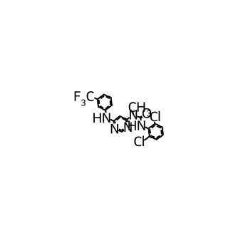 CN(C(=O)Nc1c(Cl)cccc1Cl)c1cc(Nc2cccc(C(F)(F)F)c2)ncn1